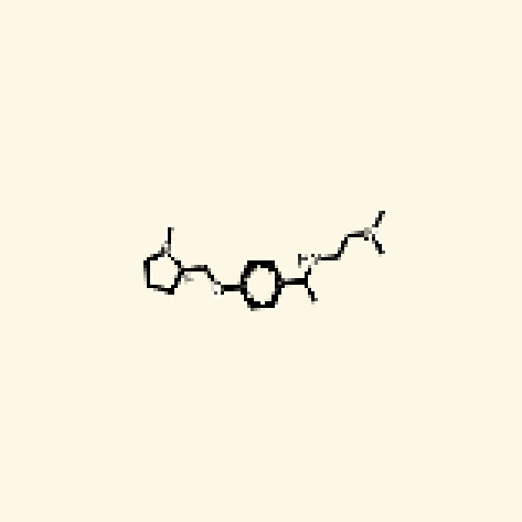 CC(NCCN(C)C)c1ccc(OC[C@H]2CCCN2C)cc1